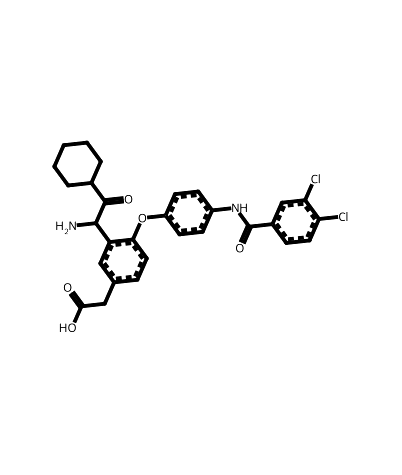 NC(C(=O)C1CCCCC1)c1cc(CC(=O)O)ccc1Oc1ccc(NC(=O)c2ccc(Cl)c(Cl)c2)cc1